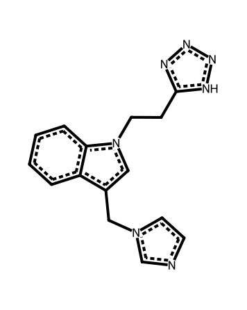 c1ccc2c(c1)c(Cn1ccnc1)cn2CCc1nnn[nH]1